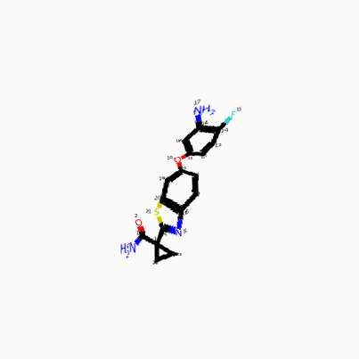 NC(=O)C1(c2nc3ccc(Oc4ccc(F)c(N)c4)cc3s2)CC1